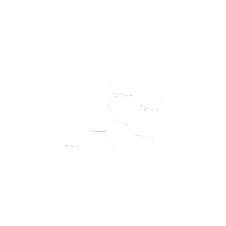 CCOC(=O)c1cc(C)c[n+](OC)c1CCl